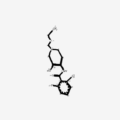 CCSCN1CCC(NC(=O)c2c(F)cccc2Cl)C(O)C1